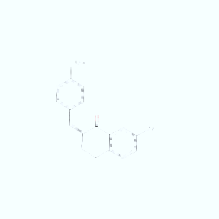 COc1ccc(C=C2CCc3ccc([N+](=O)[O-])cc3C2=O)cc1